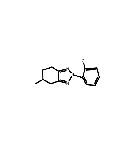 CC1CCc2nn(-c3ccccc3O)nc2C1